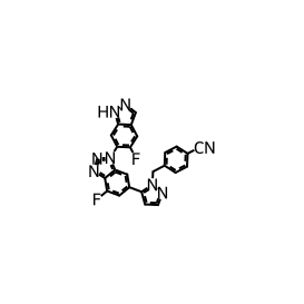 N#Cc1ccc(Cn2nccc2-c2cc(F)c3nnn(-c4cc5[nH]ncc5cc4F)c3c2)cc1